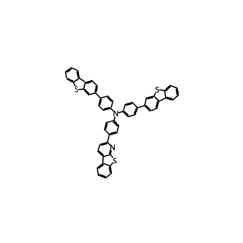 c1ccc2c(c1)sc1cc(-c3ccc(N(c4ccc(-c5ccc6c(c5)sc5ccccc56)cc4)c4ccc(-c5ccc6c(n5)sc5ccccc56)cc4)cc3)ccc12